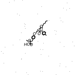 CCCCCOCCN(CCOc1ccc(CC(OCC)C(=O)O)cc1)C(=O)Nc1ccc(C)cc1